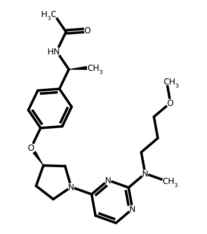 COCCCN(C)c1nccc(N2CC[C@@H](Oc3ccc([C@H](C)NC(C)=O)cc3)C2)n1